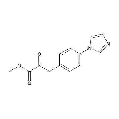 COC(=O)C(=O)Cc1ccc(-n2ccnc2)cc1